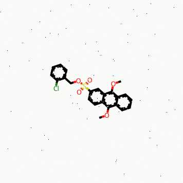 COc1c2ccccc2c(OC)c2cc(S(=O)(=O)OCc3ccccc3Cl)ccc12